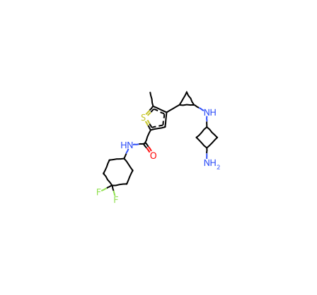 Cc1sc(C(=O)NC2CCC(F)(F)CC2)cc1C1CC1NC1CC(N)C1